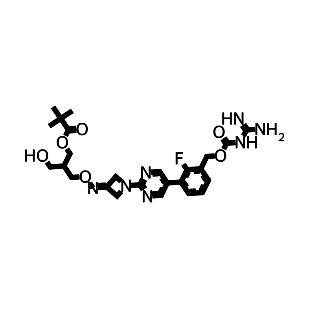 CC(C)(C)C(=O)OCC(CO)CON=C1CN(c2ncc(-c3cccc(COC(=O)NC(=N)N)c3F)cn2)C1